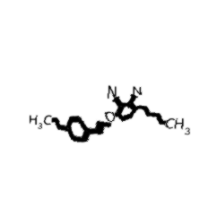 CCCCCc1ccc(OC/C=C/C2CCC(CCC)CC2)c(C#N)c1C#N